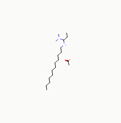 CC(=O)O.CCCCCCCCCCCCNC(CC)N(C)C